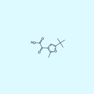 Cc1oc(C(C)(C)C)cc1C(=O)C(=O)O